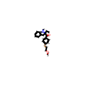 CCC(Cc1ccccc1)(C(=O)c1ccc(SCCOC)cc1)N(C)C